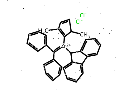 CC1=[C]([Zr+2](=[C](c2ccccc2)c2ccccc2)[CH]2c3ccccc3-c3ccccc32)C(C)C=C1.[Cl-].[Cl-]